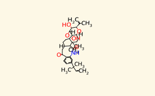 C=CC(C)(C)c1ccc2c(c1)NC(=O)[C@@]1(C)[C@@H](CC[C@@]3(O)[C@@]45O[C@@H]4[C@@H](O)[C@@H](C(=C)C)O[C@H]5CC[C@@]31C)CC2=O